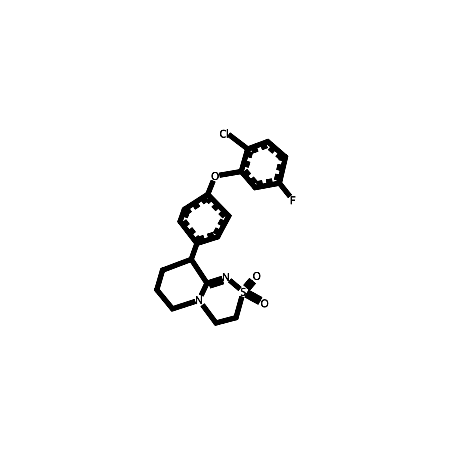 O=S1(=O)CCN2CCCC(c3ccc(Oc4cc(F)ccc4Cl)cc3)C2=N1